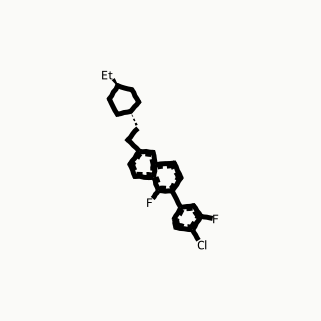 CC[C@H]1CC[C@H](CCc2ccc3c(F)c(-c4ccc(Cl)c(F)c4)ccc3c2)CC1